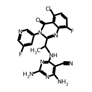 CC(Nc1nc(N)nc(N)c1C#N)c1nc2c(F)ccc(Cl)c2c(=O)n1-c1cncc(F)c1